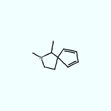 CC1N(C)CCC12C=CC=C2